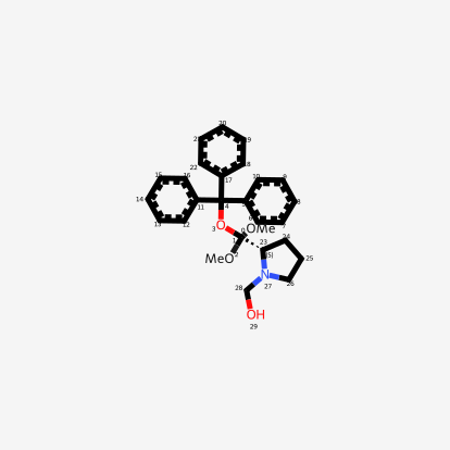 COC(OC)(OC(c1ccccc1)(c1ccccc1)c1ccccc1)[C@@H]1CCCN1CO